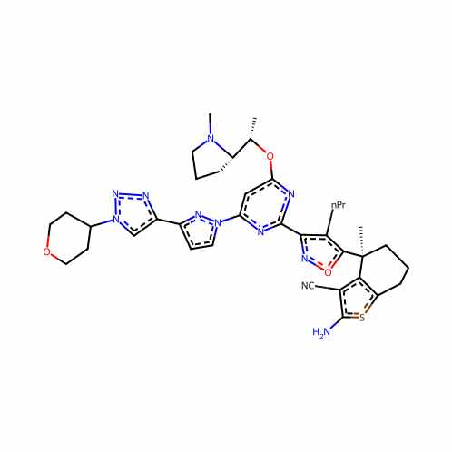 CCCc1c(-c2nc(O[C@@H](C)[C@@H]3CCCN3C)cc(-n3ccc(-c4cn(C5CCOCC5)nn4)n3)n2)noc1[C@@]1(C)CCCc2sc(N)c(C#N)c21